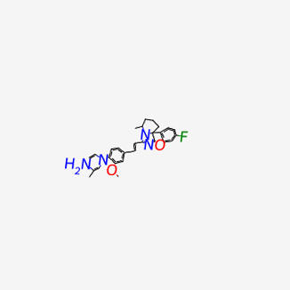 C=CN(/C=C(/C)N)c1ccc(/C=C/C2=NC(=O)C3(c4ccc(F)cc4)CCCC(C)N23)cc1OC